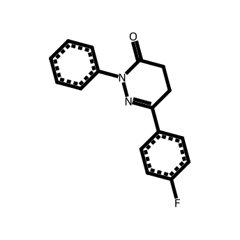 O=C1CCC(c2ccc(F)cc2)=NN1c1ccccc1